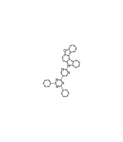 c1ccc(-c2nc(-c3ccccc3)nc(-c3cnc(-n4c5ccccc5c5c6c(ccc54)oc4ccccc46)nc3)n2)cc1